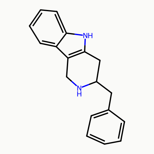 c1ccc(CC2Cc3[nH]c4ccccc4c3CN2)cc1